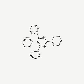 [c]1ccccc1-c1c(-c2ccccc2)nc(-c2ccccc2)nc1-c1ccccc1